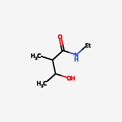 CCNC(=O)C(C)C(C)O